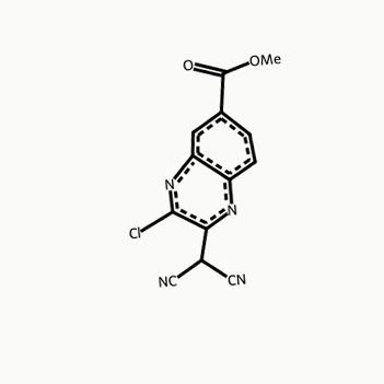 COC(=O)c1ccc2nc(C(C#N)C#N)c(Cl)nc2c1